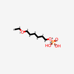 CCOCCCCCCOP(=O)(O)O